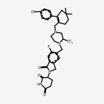 CC1(C)CCC(CN2CCN(Cc3cc4c(cc3F)C(=O)N(C3CCC(=O)NC3=O)C4)C(C(F)(F)F)C2)=C(c2ccc(Cl)cc2)C1